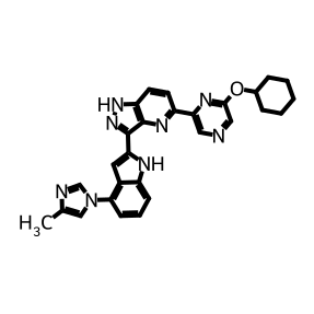 Cc1cn(-c2cccc3[nH]c(-c4n[nH]c5ccc(-c6cncc(OC7CCCCC7)n6)nc45)cc23)cn1